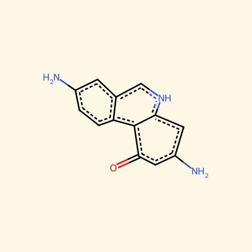 Nc1cc2[nH]cc3cc(N)ccc3c-2c(=O)c1